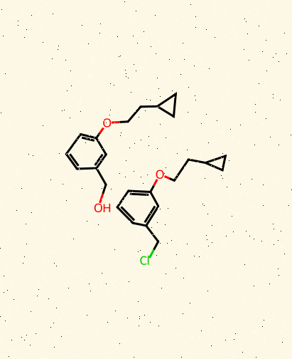 ClCc1cccc(OCCC2CC2)c1.OCc1cccc(OCCC2CC2)c1